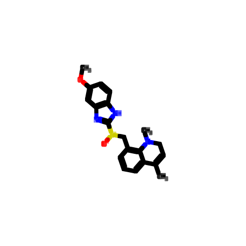 COc1ccc2[nH]c([S+]([O-])Cc3cccc4c3N(C)CC=C4C)nc2c1